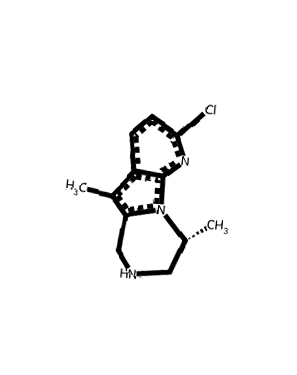 Cc1c2n(c3nc(Cl)ccc13)[C@H](C)CNC2